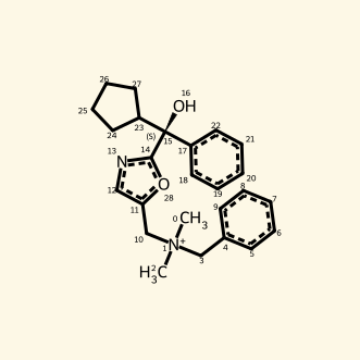 C[N+](C)(Cc1ccccc1)Cc1cnc([C@@](O)(c2ccccc2)C2CCCC2)o1